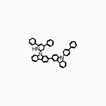 C1=CC2c3cc(-c4ccc5c(c4)N(C4CC(c6ccccc6)C=C(C6=CCCC=C6)N4)C4C=CC=CC54)ccc3N(C3C=CC(c4ccccc4)=CC3)C2C=C1